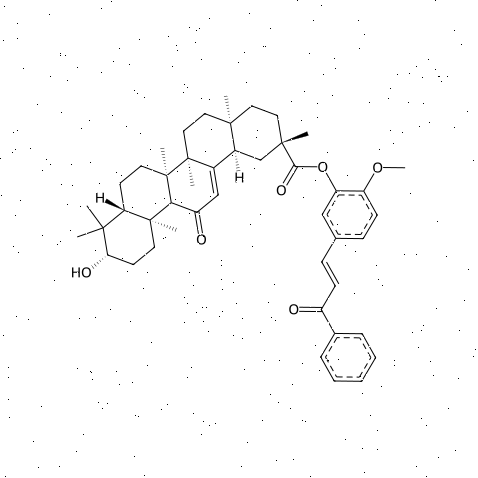 COc1ccc(/C=C/C(=O)c2ccccc2)cc1OC(=O)[C@@]1(C)CC[C@]2(C)CC[C@@]3(C)C(=CC(=O)C4[C@@]5(C)CC[C@H](O)C(C)(C)[C@@H]5CC[C@]43C)[C@@H]2C1